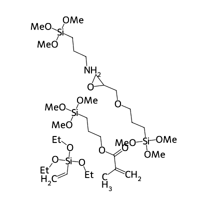 C=C(C)C(=O)OCCC[Si](OC)(OC)OC.C=C[Si](OCC)(OCC)OCC.CO[Si](CCCN)(OC)OC.CO[Si](CCCOCC1CO1)(OC)OC